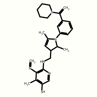 C=Nc1c(NCC2C=C(C)N(c3cccc(C(=C)N4CCCCC4)c3)C2C)ncc(S)c1C